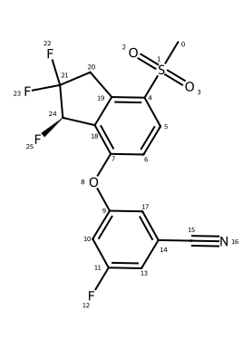 CS(=O)(=O)c1ccc(Oc2cc(F)cc(C#N)c2)c2c1CC(F)(F)[C@@H]2F